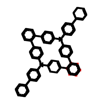 C1=CCCC(c2ccc(N(c3ccc(-c4ccccc4)cc3)c3ccc(-c4ccccc4-c4ccc(N(C5=CC=C(c6ccccc6)CC5)c5ccc(-c6ccccc6)cc5)cc4)cc3)cc2)=C1